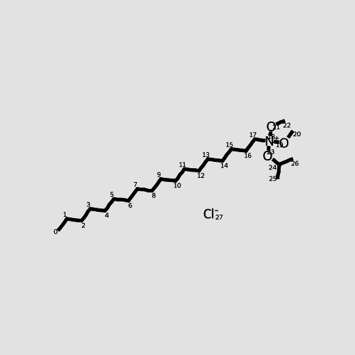 CCCCCCCCCCCCCCCCCC[N+](OC)(OC)OC(C)C.[Cl-]